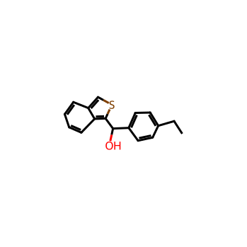 CCc1ccc(C(O)c2scc3ccccc23)cc1